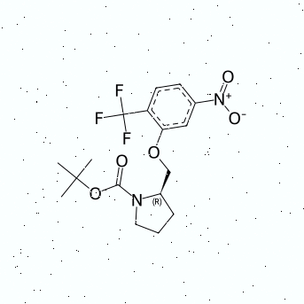 CC(C)(C)OC(=O)N1CCC[C@@H]1COc1cc([N+](=O)[O-])ccc1C(F)(F)F